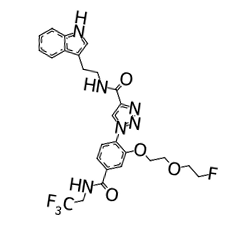 O=C(NCC(F)(F)F)c1ccc(-n2cc(C(=O)NCCc3c[nH]c4ccccc34)nn2)c(OCCOCCF)c1